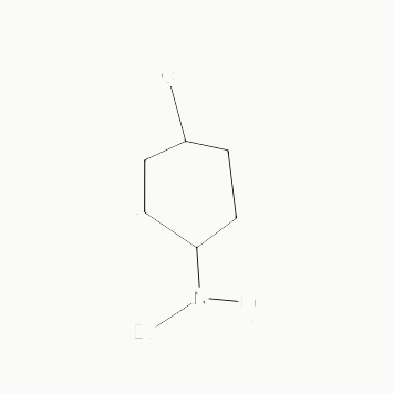 CCN(CC)C1CCC(O)CC1